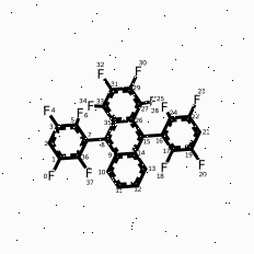 Fc1cc(F)c(F)c(-c2c3ccccc3c(-c3c(F)c(F)cc(F)c3F)c3c(F)c(F)c(F)c(F)c23)c1F